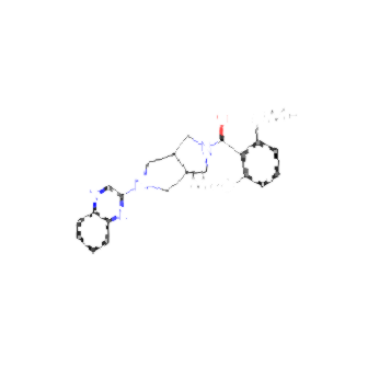 COc1cccc(OC)c1C(=O)N1CC2CN(c3cnc4ccccc4n3)CC2C1